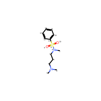 CN(C)CCCN(C)S(=O)(=O)c1[c]cccc1